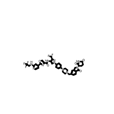 O=C1CCC(N2Cc3cc(CN4CCN(c5ccc(-n6cc(NC(=O)c7coc(-c8ccnc(NCC(F)(F)F)c8)n7)c(C(F)F)n6)cc5)CC4)ccc3C2=O)C(=O)N1